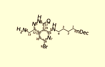 CCCCCCCCCCCCCCNc1nc(Br)cc2c(CN)n[nH]c(=O)c12